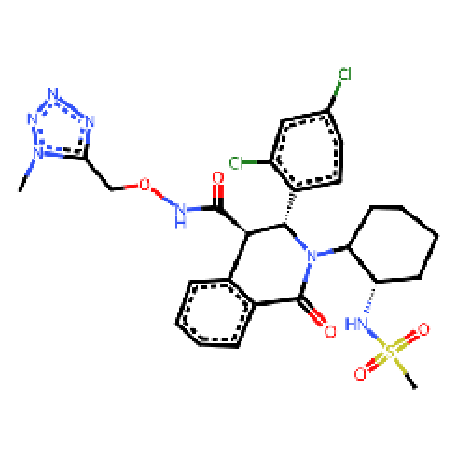 Cn1nnnc1CONC(=O)[C@@H]1c2ccccc2C(=O)N(C2CCCC[C@@H]2NS(C)(=O)=O)[C@H]1c1ccc(Cl)cc1Cl